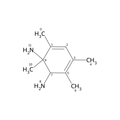 CC1=CC(C)=C(C)C(N)C1(C)N